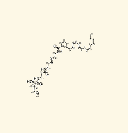 CC/C=C\C/C=C\C/C=C\C/C=C\C/C=C\C/C=C\CC(=O)NCCSSCCNC(=O)CCNC(=O)[C@H](O)C(C)(C)COC